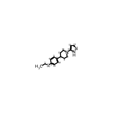 CCSc1ccc(C2CCN(c3ccn[nH]3)CC2)cc1